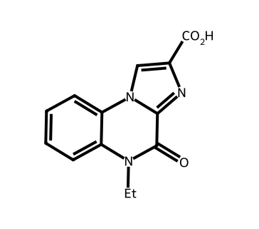 CCn1c(=O)c2nc(C(=O)O)cn2c2ccccc21